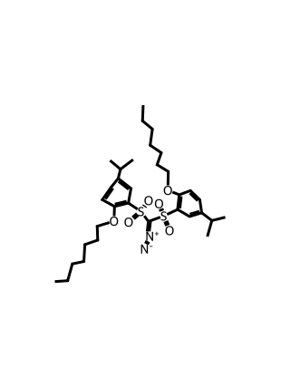 CCCCCCCOc1ccc(C(C)C)cc1S(=O)(=O)C(=[N+]=[N-])S(=O)(=O)c1cc(C(C)C)ccc1OCCCCCCC